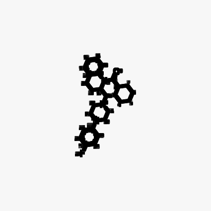 O=C(C1CCCCC1)N1c2ccccc2CCC1CN1CCN(c2ccc(F)cc2)CC1